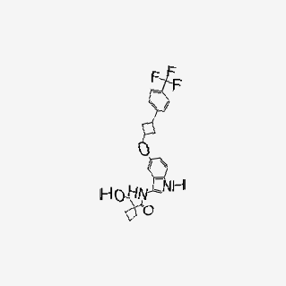 O=C(Nc1c[nH]c2ccc(OC3CC(c4ccc(C(F)(F)F)cc4)C3)cc12)C1(CO)CCC1